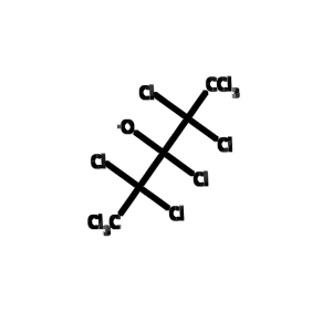 [O]C(Cl)(C(Cl)(Cl)C(Cl)(Cl)Cl)C(Cl)(Cl)C(Cl)(Cl)Cl